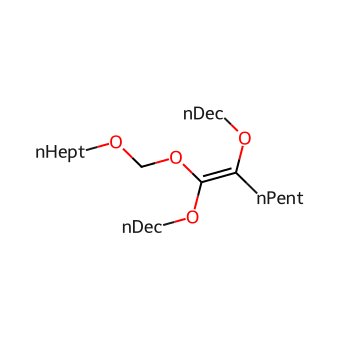 CCCCCCCCCCOC(CCCCC)=C(OCCCCCCCCCC)OCOCCCCCCC